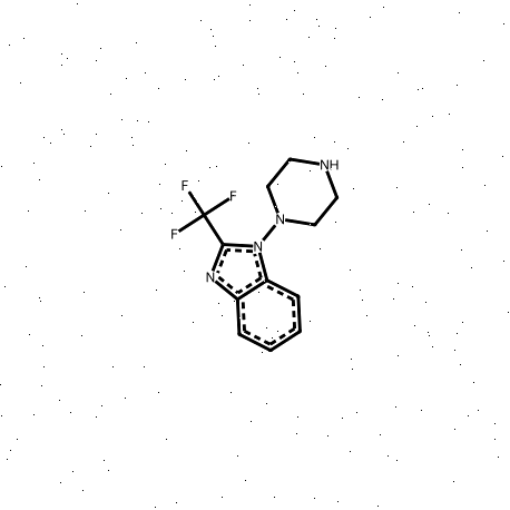 FC(F)(F)c1nc2ccccc2n1N1CCNCC1